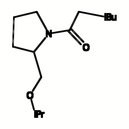 CCC(C)CC(=O)N1CCCC1COC(C)C